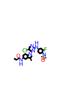 C=CC(=O)Nc1ccc2c(c1)c(C)cn2-c1nc(Nc2ccc(N=S(C)(C)=O)c(F)c2)ncc1Cl